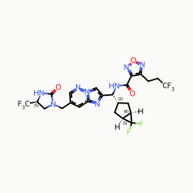 O=C(NC(c1cn2ncc(CN3C[C@@H](C(F)(F)F)NC3=O)cc2n1)[C@@H]1C[C@@H]2[C@H](C1)C2(F)F)c1nonc1CCC(F)(F)F